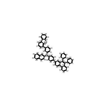 c1ccc(-c2c(-c3ccccc3)c3cc(-c4ccc(N(c5cccc(-c6cccc7c6oc6ccccc67)c5)c5ccc6ccccc6c5)cc4)ccc3c3ccccc23)cc1